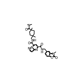 CN(C)C(=O)C1(C)CCC(C)(CNC(=O)c2cc(C(=O)NCc3ccc4oc(=O)n(C)c4c3)nc3ccnn23)CC1